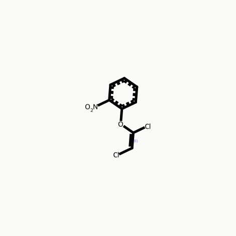 O=[N+]([O-])c1ccccc1O/C(Cl)=C\Cl